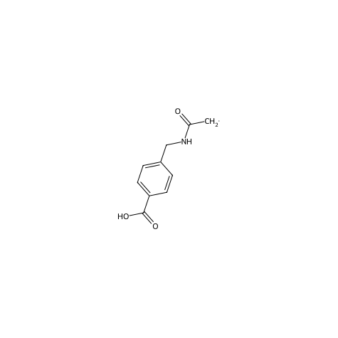 [CH2]C(=O)NCc1ccc(C(=O)O)cc1